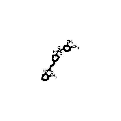 Cc1ccc(S(=O)(=O)Nc2ccc(/C=C/C(=O)Nc3ccccc3N)cc2)cc1C